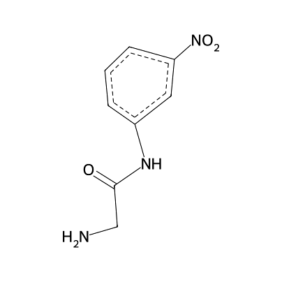 NCC(=O)Nc1cccc([N+](=O)[O-])c1